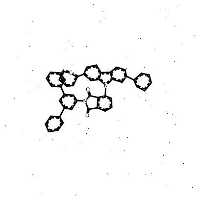 O=C1c2cccc(-n3c4cc(-c5ccccc5)ccc4c4ccc(-c5ccccc5)cc43)c2C(=O)N1c1cc(-c2ccccc2)cc(-c2ccccc2)c1